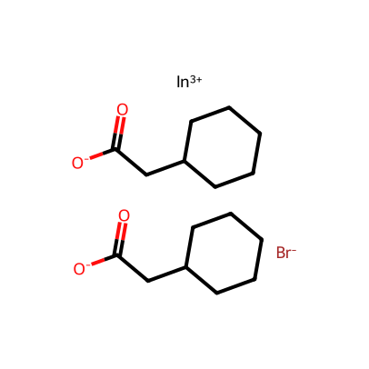 O=C([O-])CC1CCCCC1.O=C([O-])CC1CCCCC1.[Br-].[In+3]